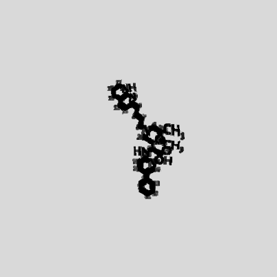 CO[C@H](C)CN(CCCCc1ccc2c(n1)NCCC2)CC[C@H](Nc1ccc(-c2ccccc2)cn1)C(=O)O